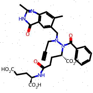 C#CCN(Cc1cc2c(=O)[nH]c(C)nc2cc1C)N(C(=O)c1ccccc1)[C@@H](CCC(=O)N[C@H](CCC(=O)O)C(=O)O)C(=O)O